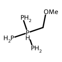 COC[PH](P)(P)P